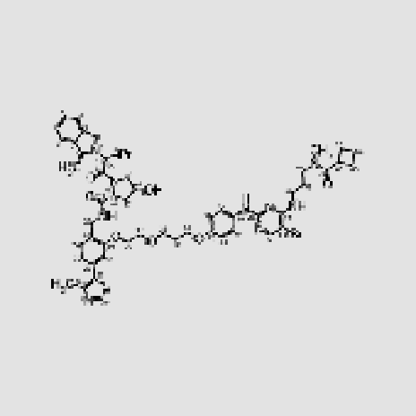 C=C1c2ccccc2CN1[C@H](C(=O)N1C[C@H](O)C[C@H]1C(=O)NCc1ccc(-c2scnc2C)cc1OCCOCCCOc1ccc(Nc2ncc(Br)c(NCCCN(C)C(=O)C3CCC3)n2)cc1)C(C)C